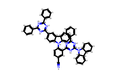 N#Cc1ccc(-n2c3ccccc3c3cc(-c4nc(-c5ccccc5)nc(-c5ccccc5)n4)ccc32)c(-c2nc(-c3ccccc3)nc(-n3c4ccccc4c4ccccc43)n2)c1